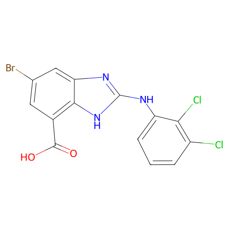 O=C(O)c1cc(Br)cc2nc(Nc3cccc(Cl)c3Cl)[nH]c12